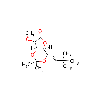 CO[C@H]1C(=O)O[C@@H]2[C@H]1OC(C)(C)O[C@H]2C=CC(C)(C)C